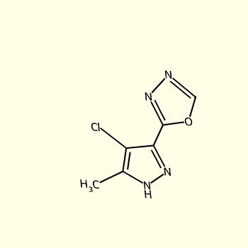 Cc1[nH]nc(-c2nnco2)c1Cl